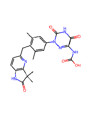 Cc1cc(-n2nc(NC(=O)O)c(=O)[nH]c2=O)cc(C)c1Cc1ccc2c(n1)C(C)(C)C(=O)N2